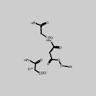 CCCC(=O)CC(=O)OOC(C)C.CCCC(=O)CC(=O)[O-].CCCC(=O)CC(=O)[O-].[Ti+2]